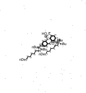 CCCCCCCCCCCCCCCC[PH](CCCC)(CCCC)CCCC.CCCCCCCCCCCCCCCC[PH](CCCC)(CCCC)CCCC.O=C(O)c1ccccc1[S+]([O-])c1ccccc1C(=O)O